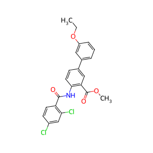 CCOc1cccc(-c2ccc(NC(=O)c3ccc(Cl)cc3Cl)c(C(=O)OC)c2)c1